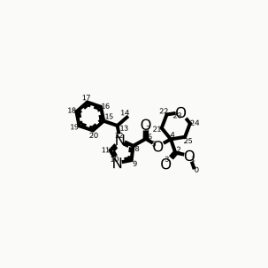 COC(=O)C1(OC(=O)c2cncn2C(C)c2ccccc2)CCOCC1